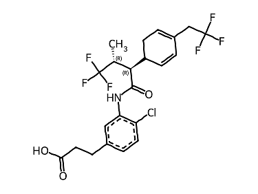 C[C@H]([C@H](C(=O)Nc1cc(CCC(=O)O)ccc1Cl)C1C=CC(CC(F)(F)F)=CC1)C(F)(F)F